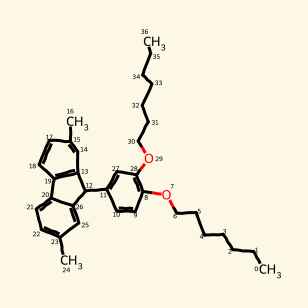 CCCCCCCOc1ccc(C2c3cc(C)ccc3-c3ccc(C)cc32)cc1OCCCCCCC